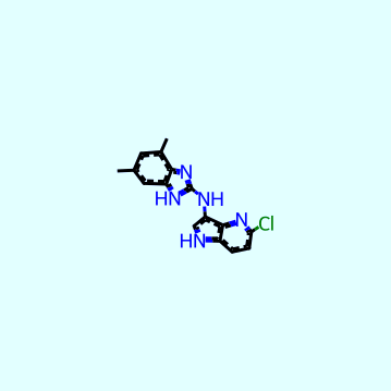 Cc1cc(C)c2nc(Nc3c[nH]c4ccc(Cl)nc34)[nH]c2c1